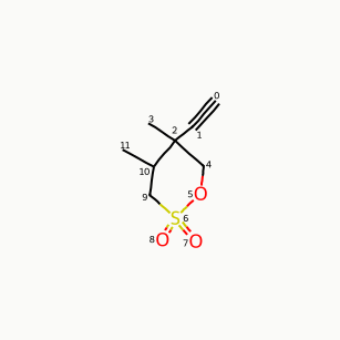 C#CC1(C)COS(=O)(=O)CC1C